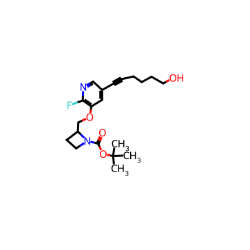 CC(C)(C)OC(=O)N1CCC1COc1cc(C#CCCCCO)cnc1F